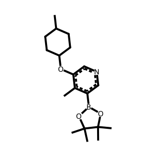 Cc1c(OC2CCC(C)CC2)cncc1B1OC(C)(C)C(C)(C)O1